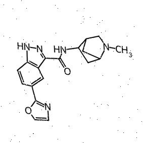 CN1CC2CC1CC2NC(=O)c1n[nH]c2ccc(-c3ncco3)cc12